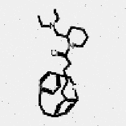 CCN(CC)CC1CCCCN1C(=O)CCCCc1cc2ccc1CCc1ccc(cc1)CC2